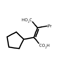 CC(C)C(C(=O)O)=C(C(=O)O)C1CCCC1